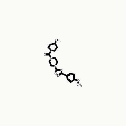 COc1ccc(-c2noc(N3CCN(C(=O)N4CCC(C)CC4)CC3)n2)cc1